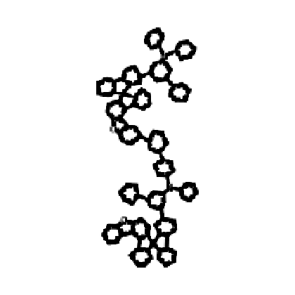 c1ccc(-c2cc(-c3ccc4c(c3)C3(c5ccccc5-4)c4ccccc4-c4c3ccc3oc5ccccc5c43)cc(N(c3ccccc3)c3ccc(-c4cccc(-c5ccc6oc7ccc8c(c7c6c5)-c5ccccc5C85c6ccccc6-c6ccc(-c7cc(-c8ccccc8)cc(N(c8ccccc8)c8ccccc8)c7)cc65)c4)cc3)c2)cc1